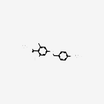 COC(=O)c1c(C)cc(OCc2ccc(OC)cc2)cc1O